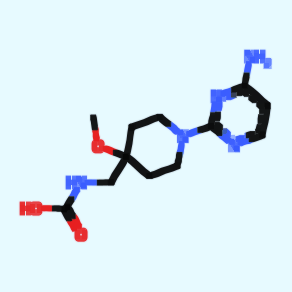 COC1(CNC(=O)O)CCN(c2nccc(N)n2)CC1